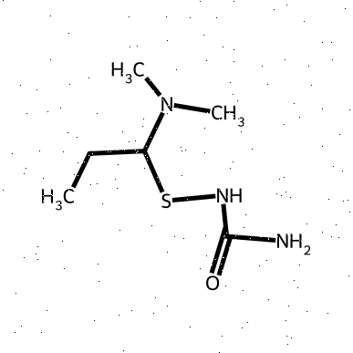 CCC(SNC(N)=O)N(C)C